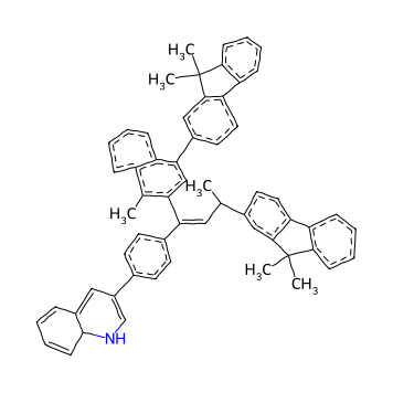 Cc1c(/C(=C\C(C)c2ccc3c(c2)C(C)(C)c2ccccc2-3)c2ccc(C3=CNC4C=CC=CC4=C3)cc2)cc(-c2ccc3c(c2)C(C)(C)c2ccccc2-3)c2ccccc12